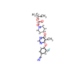 Cc1c(Oc2ccc(C#N)cc2F)ncnc1OC1CCN(OC(=O)OC(C)C)CC1